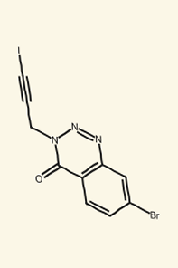 O=c1c2ccc(Br)cc2nnn1CC#CI